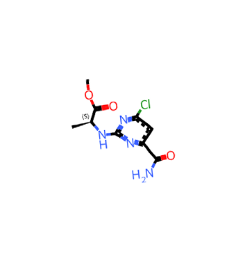 COC(=O)[C@H](C)Nc1nc(Cl)cc(C(N)=O)n1